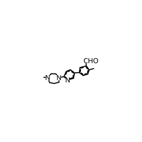 Cc1ccc(-c2ccc(N3CCCN(C)CC3)nc2)cc1C=O